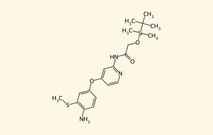 CSc1cc(Oc2ccnc(NC(=O)CO[Si](C)(C)C(C)(C)C)c2)ccc1N